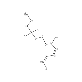 CCC(C)CCC(C)(C)CCCC(C)/C=C\C=N/C